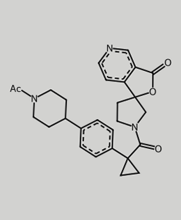 CC(=O)N1CCC(c2ccc(C3(C(=O)N4CCC5(C4)OC(=O)c4cnccc45)CC3)cc2)CC1